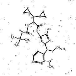 COCC(c1ccnnc1OC)n1cc(NC(=O)C(NC(=O)OC(C)(C)C)C(C2CC2)C2CC2)c(F)n1